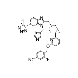 N#Cc1ccc(COc2cccc(C34CCN(Cc5nc6ccc(-c7nnn[nH]7)cc6n5Cc5cncs5)CC3C4)n2)c(F)c1